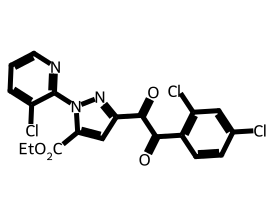 CCOC(=O)c1cc(C(=O)C(=O)c2ccc(Cl)cc2Cl)nn1-c1ncccc1Cl